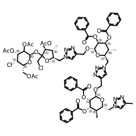 CC(=O)OC[C@H]1O[C@H](OC2(CCl)O[C@H](Cn3cc(CO[C@H]4O[C@H](Cn5cc(CO[C@H]6O[C@H](Cn7cc(C)nn7)[C@@H](C)[C@H](OC(=O)c7ccccc7)[C@@H]6OC(=O)c6ccccc6)nn5)[C@@H](C)[C@H](OC(=O)c5ccccc5)[C@@H]4OC(=O)c4ccccc4)nn3)[C@@H](C)[C@@H]2OC(C)=O)C(OC(C)=O)[C@@H](OC(C)=O)[C@H]1Cl